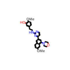 COc1ccc2cc(-c3ccnc(NCCc4ccc(OC)c(O)c4)n3)cc(N3CCOCC3)c2c1